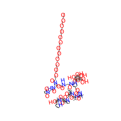 CC[C@H](C)[C@@H]([C@@H](CC(=O)N1CCC[C@H]1[C@H](OC)[C@@H](C)C(=O)N[C@H](C)[C@@H](O)c1ccccc1)OC)N(C)C(=O)[C@@H](NC(=O)[C@H](C(C)C)N(C)C(=O)OCc1ccc(O[C@@H]2O[C@H](C(=O)O)[C@@H](O)[C@H](O)[C@H]2O)c(NC(=O)CCNC(=O)COC2(CNC(=O)CCN3C(=O)C=CC3=O)CN(C(=O)CCOCCOCCOCCOCCOCCOCCOCCOCCOCCOCCOCCOC)C2)c1)C(C)C